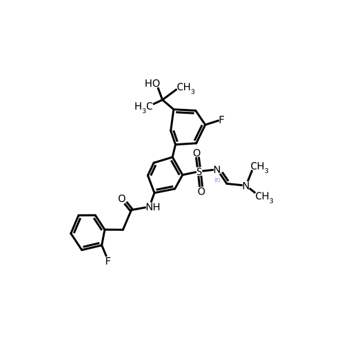 CN(C)/C=N/S(=O)(=O)c1cc(NC(=O)Cc2ccccc2F)ccc1-c1cc(F)cc(C(C)(C)O)c1